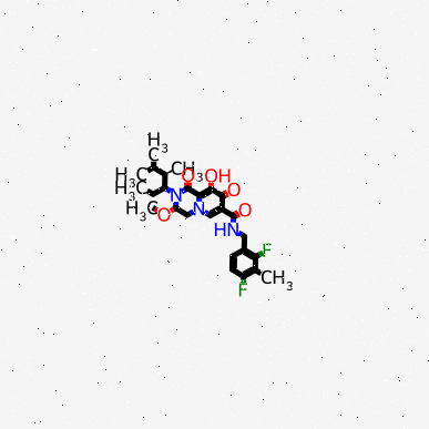 CCC([C@@H](C)C(C)C)N1C(=O)c2c(O)c(=O)c(C(=O)NCc3ccc(F)c(C)c3F)cn2CC1OC